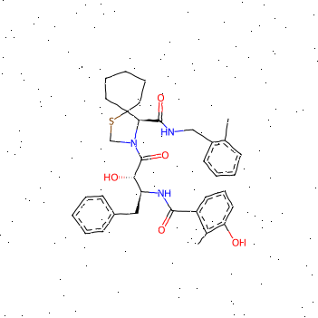 Cc1ccccc1CNC(=O)[C@H]1N(C(=O)[C@@H](O)[C@H](Cc2ccccc2)NC(=O)c2cccc(O)c2C)CSC12CCCCC2